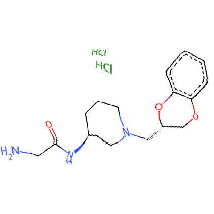 Cl.Cl.NCC(=O)N[C@H]1CCCN(C[C@H]2COc3ccccc3O2)C1